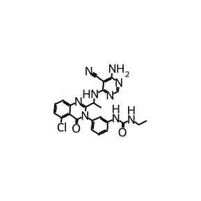 CCNC(=O)Nc1cccc(-n2c(C(C)Nc3ncnc(N)c3C#N)nc3cccc(Cl)c3c2=O)c1